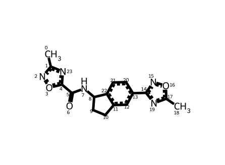 Cc1noc(C(=O)NC2CCc3cc(-c4noc(C)n4)ccc32)n1